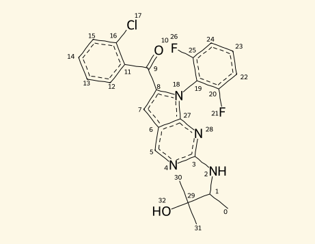 CC(Nc1ncc2cc(C(=O)c3ccccc3Cl)n(-c3c(F)cccc3F)c2n1)C(C)(C)O